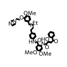 CCN(CCc1ccc(NC(=O)c2cc(OC)c(OC)cc2NC(=O)c2cc(=O)c3ccccc3o2)cc1)Cc1ccc(OC)c(OCCn2ccnc2)c1